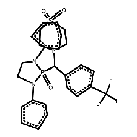 O=P1(C(c2ccc(C(F)(F)F)cc2)N2CCS(=O)(=O)CC2)N(c2ccccc2)CCN1c1ccccc1